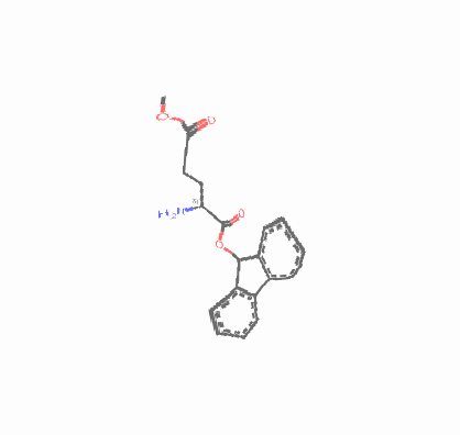 COC(=O)CC[C@H](N)C(=O)OC1c2ccccc2-c2ccccc21